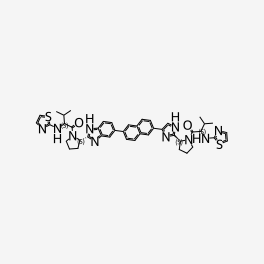 CC(C)[C@H](Nc1nccs1)C(=O)N1CCC[C@H]1c1nc(-c2ccc3cc(-c4ccc5[nH]c([C@@H]6CCCN6C(=O)[C@@H](Nc6nccs6)C(C)C)nc5c4)ccc3c2)c[nH]1